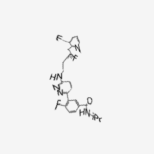 CC(C)NC(=O)c1ccc(F)c(-c2ccc(NCC[C@H](F)Cc3ncccc3F)nn2)c1